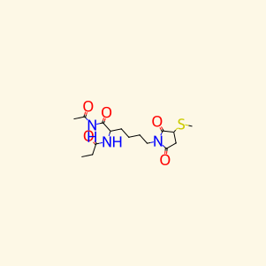 CCC(=O)NC(CCCCN1C(=O)CC(SC)C1=O)C(=O)NC(C)=O